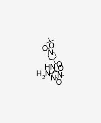 Cn1c(N)c(NC(=O)C2CCN(C(=O)OC(C)(C)C)CC2)c(=O)n(C)c1=O